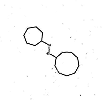 C1CCCCC(NNC2CCCCCC2)CCC1